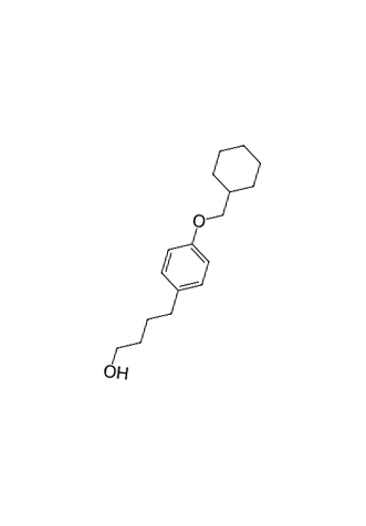 OCCCCc1ccc(OCC2CCCCC2)cc1